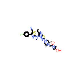 CCc1nc2sc(N3C[C@@H](C)N(CC(=O)N4CC(O)C4)[C@H](C)C3)nn2c1N(C)c1nc(-c2ccc(F)cc2)c(C#N)s1